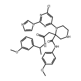 COc1ccc(NC(=O)C2(CC(=O)NC(C)c3cccc(OC)c3)CNCCN2c2cc(Cl)nc(-n3ccnc3)n2)cc1